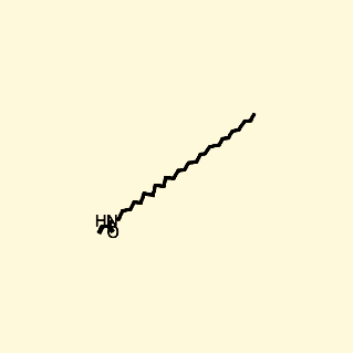 C=CC(=O)NCCCCCCCCCCCCCCCCCCCCCCCCCC